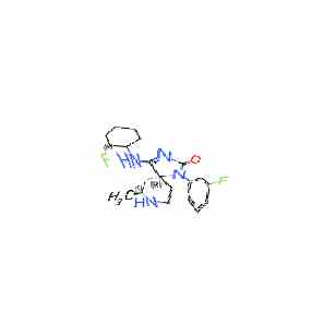 C[C@H]1C[C@]2(CCN1)C(NC1CCCC[C@H]1F)=NC(=O)N2c1cccc(F)c1